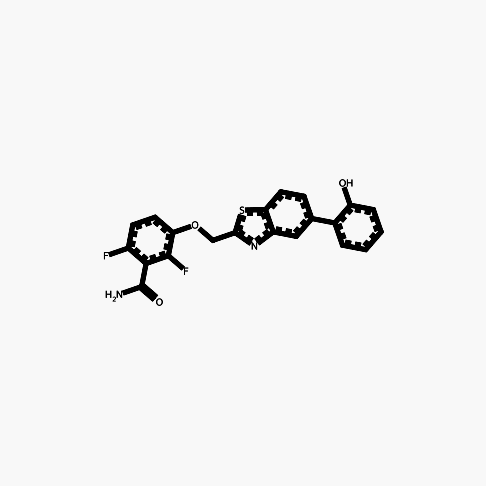 NC(=O)c1c(F)ccc(OCc2nc3cc(-c4ccccc4O)ccc3s2)c1F